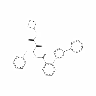 O=C(NC1CCC1)C(=O)[C@@H](Cc1ccccc1)NC(=O)c1cccnc1-n1ccc(-c2ccccc2)n1